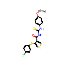 CCCCCOc1ccc(NC(=S)NC(=O)c2cscc2Sc2ccc(Cl)cc2)cc1